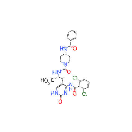 O=C(NC1CCN(C(=O)NC(Cc2c[nH]c(=O)nc2NC(=O)c2c(Cl)cccc2Cl)C(=O)O)CC1)c1ccccc1